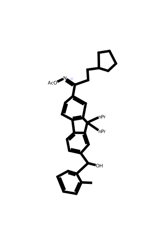 CCCC1(CCC)c2cc(/C(CCC3CCCC3)=N\OC(C)=O)ccc2-c2ccc(C(O)c3ccccc3C)cc21